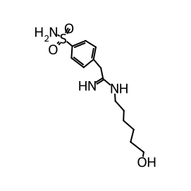 N=C(Cc1ccc(S(N)(=O)=O)cc1)NCCCCCCO